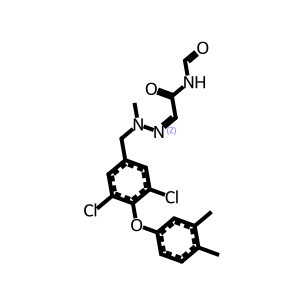 Cc1ccc(Oc2c(Cl)cc(CN(C)/N=C\C(=O)NC=O)cc2Cl)cc1C